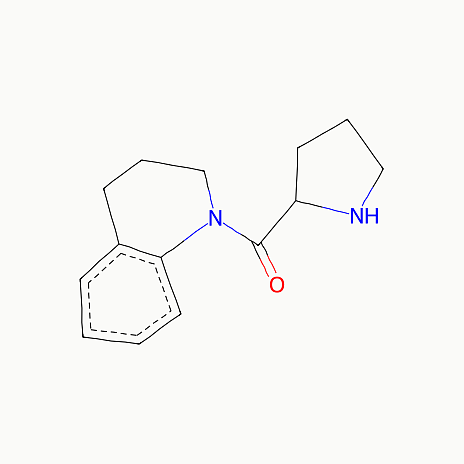 O=C(C1CCCN1)N1CCCc2ccccc21